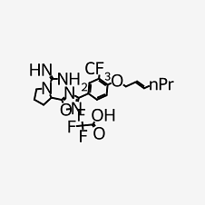 CCCC=CCOc1ccc(-c2noc(C3CCCN3C(=N)N)n2)cc1C(F)(F)F.O=C(O)C(F)(F)F